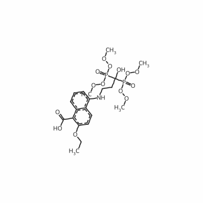 CCOc1ccc2c(NCCC(O)(P(=O)(OOC)OOC)P(=O)(OOC)OOC)cccc2c1C(=O)O